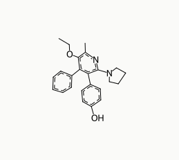 CCOc1c(C)nc(N2CCCC2)c(-c2ccc(O)cc2)c1-c1ccccc1